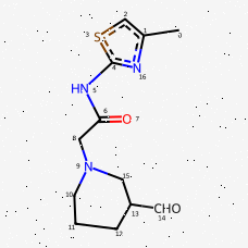 Cc1csc(NC(=O)CN2CCCC(C=O)C2)n1